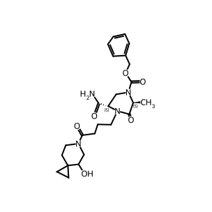 C[C@H]1C(=O)N(CCCC(=O)N2CCC3(CC3)C(O)C2)[C@H](C(N)=O)CN1C(=O)OCc1ccccc1